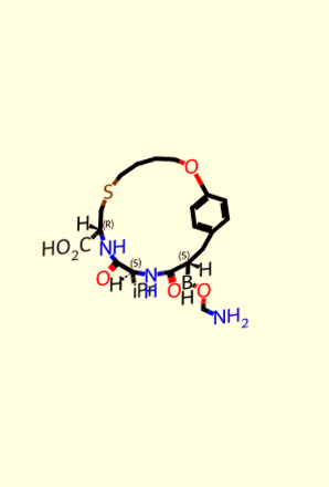 CC(C)[C@@H]1NC(=O)[C@@H](BOCN)Cc2ccc(cc2)OCCCCSC[C@@H](C(=O)O)NC1=O